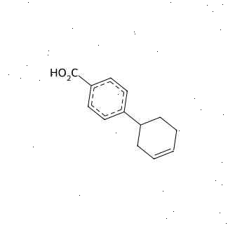 O=C(O)c1ccc(C2CC=CCC2)cc1